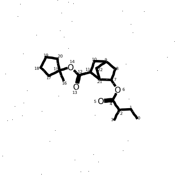 CCC(C)C(=O)OC1CC2CC(C(=O)OC3(C)CCCC3)C1C2